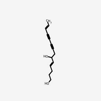 C/C=C/C#CC#CCC(O)/C=C/CCCO